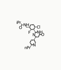 CCCc1ccc(-c2cc(=O)[nH]c(-c3c(Cl)ccc(CNC(=O)C(C)C)c3F)n2)cn1